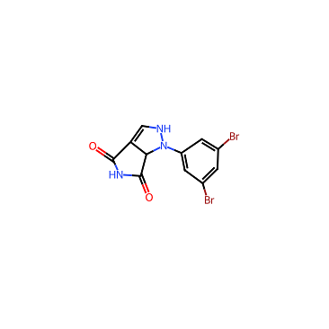 O=C1NC(=O)C2C1=CNN2c1cc(Br)cc(Br)c1